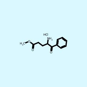 COC(=O)CCC(N)C(=O)c1ccccc1.Cl